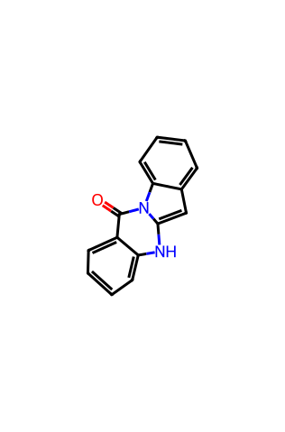 O=c1c2ccccc2[nH]c2cc3ccccc3n12